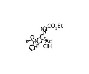 CCOC(=O)c1cnn(CC=C2CN(C(C(=O)C3CC3)c3ccccc3F)CCC2SC(C)=O)c1.Cl